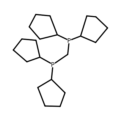 C1CCC(P(CP(C2CCCC2)C2CCCC2)C2CCCC2)C1